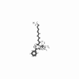 CCCCCCCCCCC(=O)N(NC(=O)c1ccccc1)C(C)(C)C